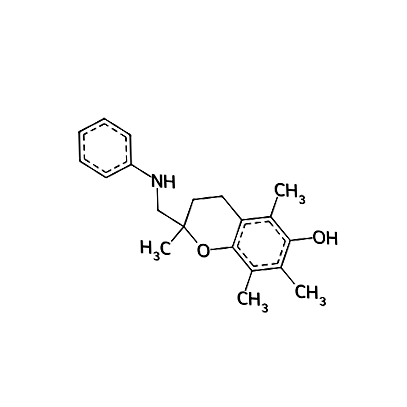 Cc1c(C)c2c(c(C)c1O)CCC(C)(CNc1ccccc1)O2